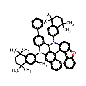 Cc1cc2c(cc1N1c3ccc(-c4ccccc4)cc3B3c4c1cc1ccccc1c4-c1c(ccc4oc5ccccc5c14)N3c1ccc3c(c1)C(C)(C)CCC3(C)C)C(C)(C)CCC2(C)C